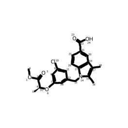 COC(=O)[C@H](C)Oc1cc(Cl)cc(Cn2c(C)c(C)c3cc(C(=O)O)ccc32)c1